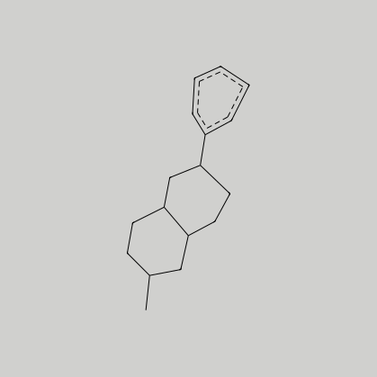 CC1CCC2CC(c3ccccc3)CCC2C1